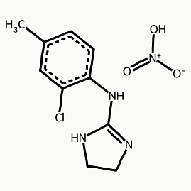 Cc1ccc(NC2=NCCN2)c(Cl)c1.O=[N+]([O-])O